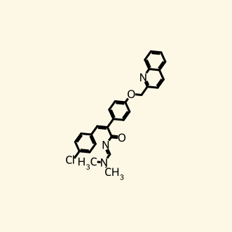 CN(C)C=NC(=O)C(=Cc1ccc(Cl)cc1)c1ccc(OCc2ccc3ccccc3n2)cc1